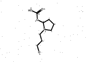 [O]CCCN1CCCC1OC(=O)O